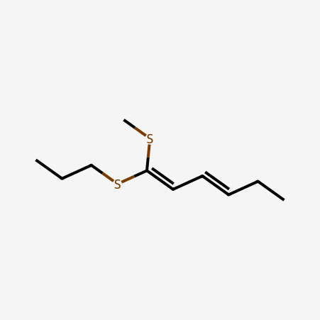 CC/C=C/C=C(\SC)SCCC